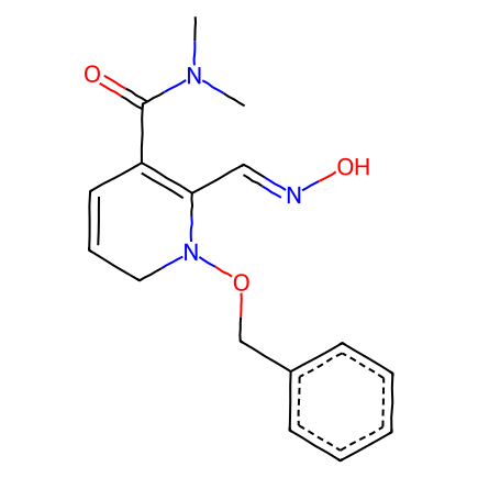 CN(C)C(=O)C1=C(C=NO)N(OCc2ccccc2)CC=C1